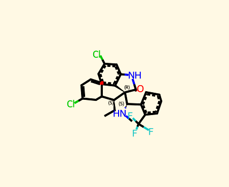 CC[C@@H](C1C=CC=C(Cl)C1)[C@@]1([C@@H](NC)c2ccccc2C(F)(F)F)C(=O)Nc2cc(Cl)ccc21